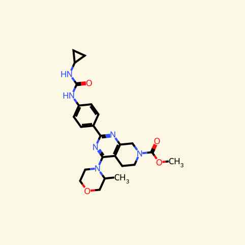 COC(=O)N1CCc2c(nc(-c3ccc(NC(=O)NC4CC4)cc3)nc2N2CCOCC2C)C1